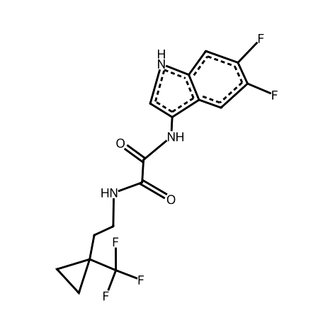 O=C(NCCC1(C(F)(F)F)CC1)C(=O)Nc1c[nH]c2cc(F)c(F)cc12